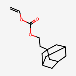 C=COC(=O)OCCC12CC3CC(CC(C3)C1)C2